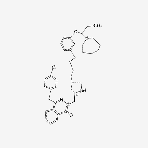 CCC(Oc1cccc(CCCCC2CN[C@@H](Cn3nc(Cc4ccc(Cl)cc4)c4ccccc4c3=O)C2)c1)N1CCCCCC1